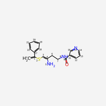 C=C(S/C=C(\N)CCNC(=O)c1cccnc1)c1ccccc1